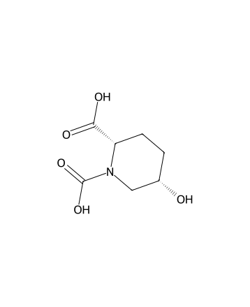 O=C(O)[C@@H]1CC[C@H](O)CN1C(=O)O